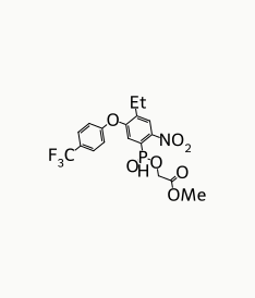 CCc1cc([N+](=O)[O-])c([PH](=O)OCC(=O)OC)cc1Oc1ccc(C(F)(F)F)cc1